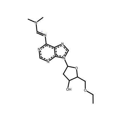 CCOCC1OC(n2cnc3c(/N=C/N(C)C)ncnc32)CC1O